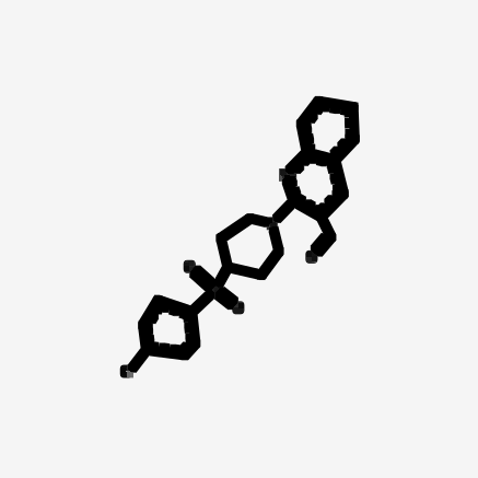 O=Cc1cc2ccccc2nc1N1CCC(S(=O)(=O)c2ccc(Cl)cc2)CC1